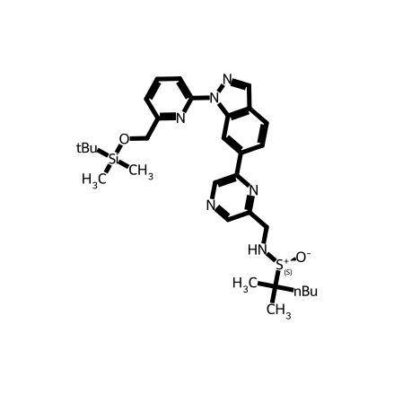 CCCCC(C)(C)[S@@+]([O-])NCc1cncc(-c2ccc3cnn(-c4cccc(CO[Si](C)(C)C(C)(C)C)n4)c3c2)n1